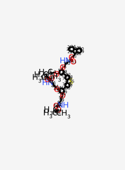 CCCOc1cc(OCCCNC(=O)OCC2c3ccccc3-c3ccccc32)cc(-c2ccc3sc4ccc(-c5cc(OCCCNC(=O)OC(C)(C)C)cc(OCCCNC(=O)OC(C)(C)C)c5)cc4c3c2)c1